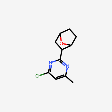 Cc1cc(Cl)nc(C2CC3CCC2O3)n1